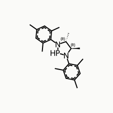 Cc1cc(C)c(N2PN(c3c(C)cc(C)cc3C)[C@H](C)[C@H]2C)c(C)c1